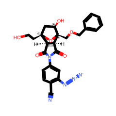 N#Cc1ccc(N2C(=O)[C@@H]3[C@H](C2=O)[C@]2(COCc4ccccc4)O[C@@]3(CCO)C[C@H]2O)cc1N=[N+]=[N-]